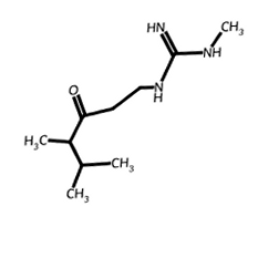 CNC(=N)NCCC(=O)C(C)C(C)C